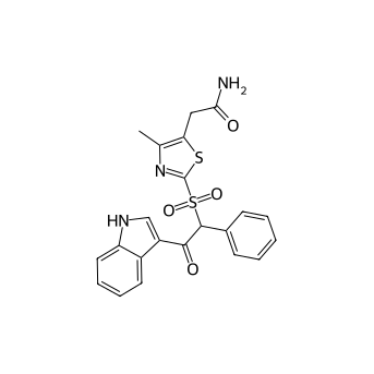 Cc1nc(S(=O)(=O)C(C(=O)c2c[nH]c3ccccc23)c2ccccc2)sc1CC(N)=O